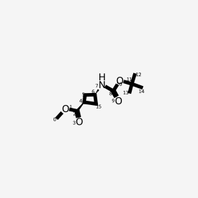 COC(=O)[C@H]1C[C@H](NC(=O)OC(C)(C)C)C1